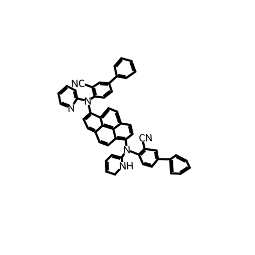 N#Cc1cc(-c2ccccc2)ccc1N(C1=CC=CCN1)c1ccc2ccc3c(N(c4ccccn4)c4ccc(-c5ccccc5)cc4C#N)ccc4ccc1c2c43